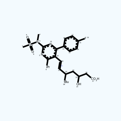 CC(C)c1nc(N(C)S(C)(=O)=O)nc(-c2ccc(F)cc2)c1/C=C/C(CC(O)CC(=O)O)C(C)(C)C